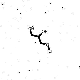 OCC(O)COCl